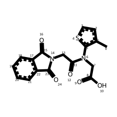 Cc1ccsc1N(CC(=O)O)C(=O)CN1C(=O)c2ccccc2C1=O